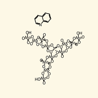 O=P([O][Mo](=[O])(=[O])[O][Mo](=[O])(=[O])[O][Mo](=[O])(=[O])[O][Mo](=[O])(=[O])[OH])([O][Mo](=[O])(=[O])[O][Mo](=[O])(=[O])[O][Mo](=[O])(=[O])[O][Mo](=[O])(=[O])[OH])[O][Mo](=[O])(=[O])[O][Mo](=[O])(=[O])[O][Mo](=[O])(=[O])[O][Mo](=[O])(=[O])[OH].c1ccc2ncccc2c1